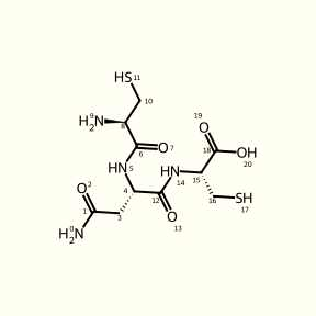 NC(=O)C[C@H](NC(=O)[C@@H](N)CS)C(=O)N[C@@H](CS)C(=O)O